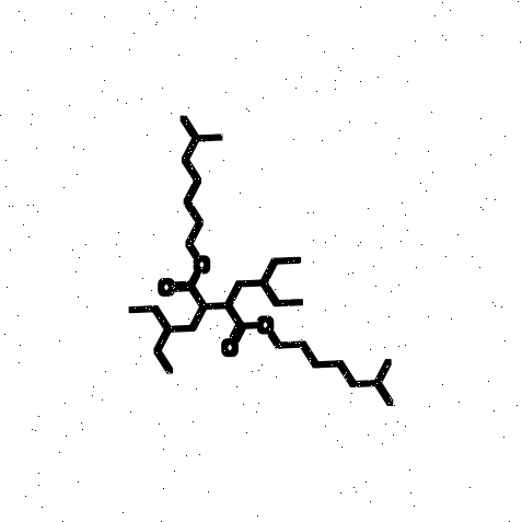 CCC(CC)CC(C(=O)OCCCCCC(C)C)C(CC(CC)CC)C(=O)OCCCCCC(C)C